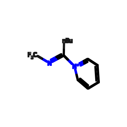 CCCCC(=NC(F)(F)F)[n+]1ccccc1